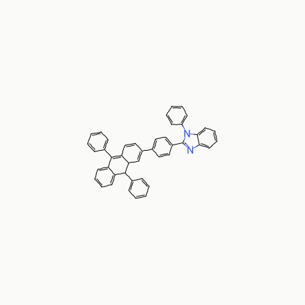 C1=CC2=C(c3ccccc3)c3ccccc3C(c3ccccc3)C2C=C1c1ccc(-c2nc3ccccc3n2-c2ccccc2)cc1